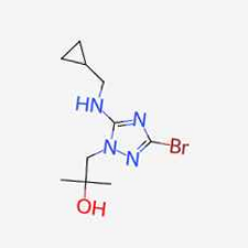 CC(C)(O)Cn1nc(Br)nc1NCC1CC1